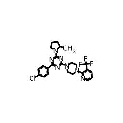 CC1CCCN1c1nc(-c2ccc(Cl)cc2)nc(N2CCN(c3ncccc3C(F)(F)F)CC2)n1